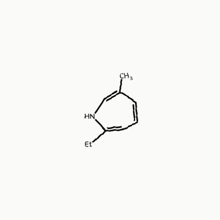 CCC1=CC=CC(C)=CN1